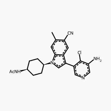 CC(=O)N[C@H]1CC[C@@H](n2cc(-c3cncc(N)c3Cl)c3cc(C#N)c(C)cc32)CC1